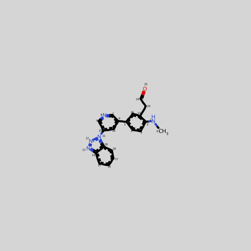 CNc1ccc(-c2cncc(-n3nnc4ccccc43)c2)cc1CC=O